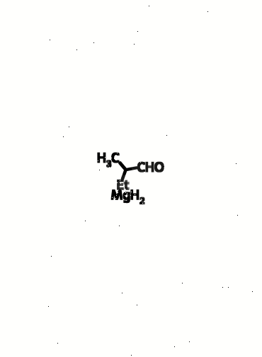 CCC(C)C=O.[MgH2]